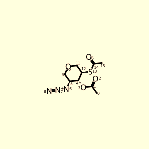 CC(=O)O[C@@H]1[C@@H](N=[N+]=[N-])COC[C@H]1SC(C)=O